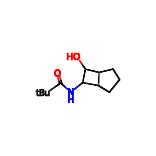 CC(C)(C)C(=O)NC1C(O)C2CCCC21